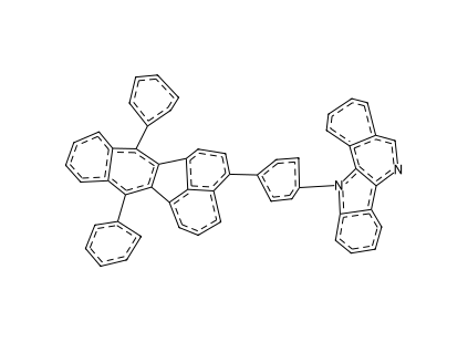 c1ccc(-c2c3c(c(-c4ccccc4)c4ccccc24)-c2ccc(-c4ccc(-n5c6ccccc6c6ncc7ccccc7c65)cc4)c4cccc-3c24)cc1